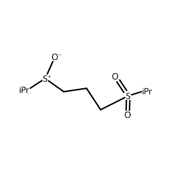 CC(C)[S+]([O-])CCCS(=O)(=O)C(C)C